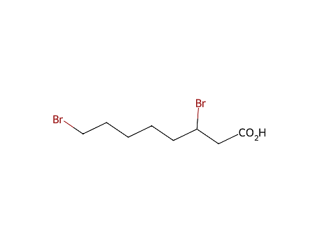 O=C(O)CC(Br)CCCCCBr